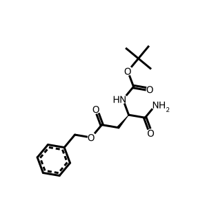 CC(C)(C)OC(=O)N[C@H](CC(=O)OCc1ccccc1)C(N)=O